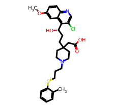 COc1ccc2ncc(Cl)c([C@H](O)CCC3(CC(=O)O)CCN(CCCSc4ccccc4C)CC3)c2c1